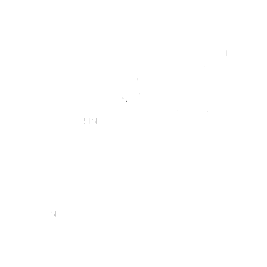 CC(C)(O)c1cc(S(=O)(=O)NC(=O)Nc2c3c(c(C#N)c4c2CCC4)CCC3)oc1C1CC1